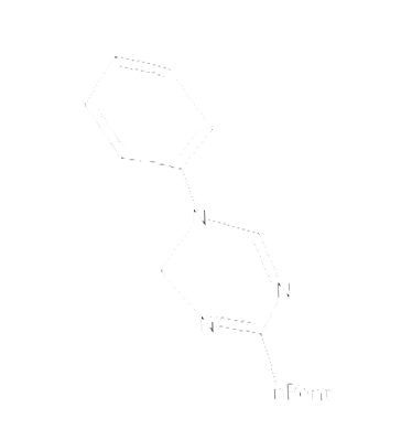 CCCCCC1=NCN(c2ccccc2)C=N1